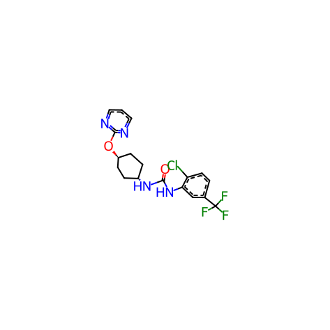 O=C(Nc1cc(C(F)(F)F)ccc1Cl)N[C@H]1CC[C@H](Oc2ncccn2)CC1